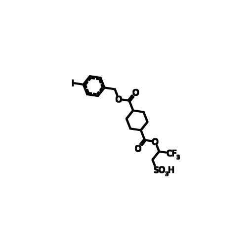 O=C(OCc1ccc(I)cc1)C1CCC(C(=O)OC(CS(=O)(=O)O)C(F)(F)F)CC1